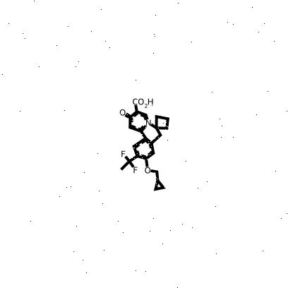 CC(F)(F)c1cc2c(cc1OCC1CC1)CC1(CCC1)n1cc(C(=O)O)c(=O)cc1-2